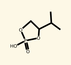 CC(C)C1COP(=O)(O)O1